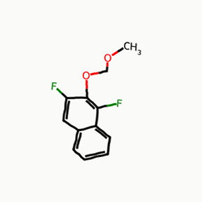 COCOc1c(F)cc2ccccc2c1F